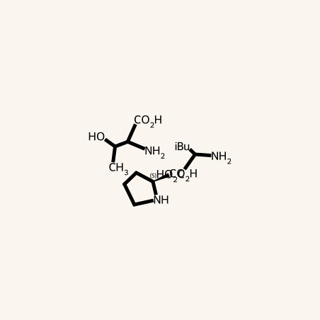 CC(O)C(N)C(=O)O.CCC(C)C(N)C(=O)O.O=C(O)[C@@H]1CCCN1